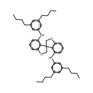 CCCCc1cc(CCCC)cc(Pc2cccc3c2C2(CO3)COc3cccc(Pc4cc(CCCC)cc(CCCC)c4)c32)c1